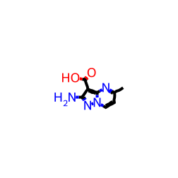 Cc1ccn2nc(N)c(C(=O)O)c2n1